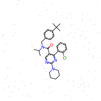 CC(C)N(Cc1ccc(C(C)(C)C)cc1)C(=O)c1cnc(N2CCCCC2)nc1-c1ccccc1Cl